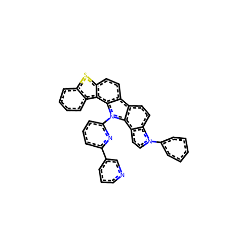 c1ccc(-n2ccc3c2ccc2c4ccc5sc6ccccc6c5c4n(-c4cccc(-c5cccnc5)n4)c23)cc1